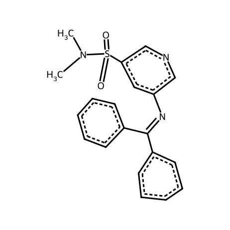 CN(C)S(=O)(=O)c1cncc(N=C(c2ccccc2)c2ccccc2)c1